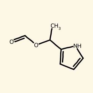 CC(OC=O)c1ccc[nH]1